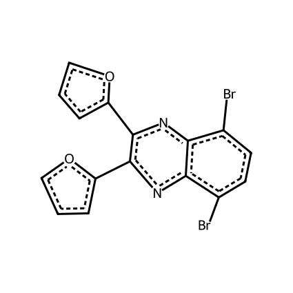 Brc1ccc(Br)c2nc(-c3ccco3)c(-c3ccco3)nc12